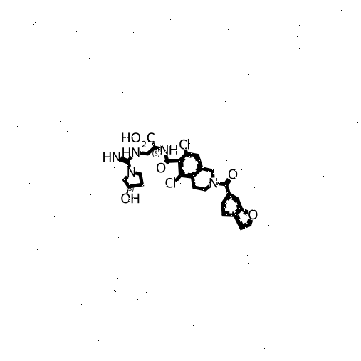 N=C(NC[C@H](NC(=O)c1c(Cl)cc2c(c1Cl)CCN(C(=O)c1ccc3ccoc3c1)C2)C(=O)O)N1CC[C@H](O)C1